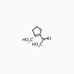 CCN(C(=O)O)N1CCC[C@H]1C(=O)O